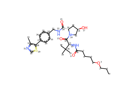 CCCOCCCCC(=O)N[C@H](C(=O)N1C[C@H](O)C[C@H]1C(=O)NCc1ccc(-c2scnc2C)cc1)C(C)(C)C